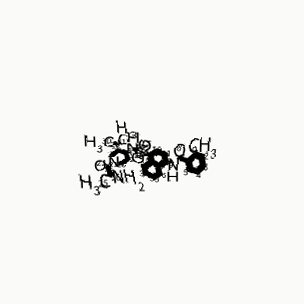 Cc1ccccc1C(=O)Nc1ccc(S(=O)(=O)N[C@@H]2CCN(C(=O)[C@H](C)N)C[C@@H]2C(C)C)c2ccccc12